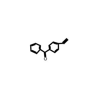 C#Cc1ccc(C(=O)c2ccccc2)cc1